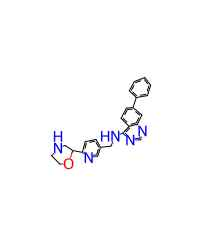 c1ccc(-c2ccc3c(NCc4ccc(C5CNCCO5)nc4)ncnc3c2)cc1